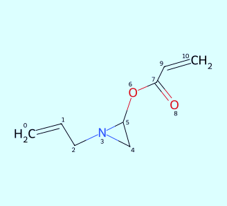 C=CCN1CC1OC(=O)C=C